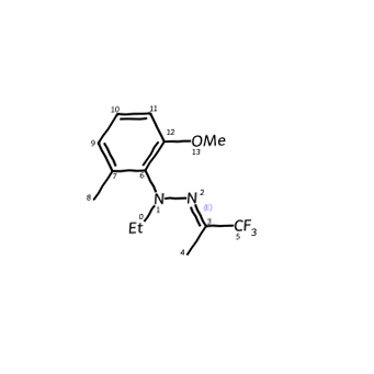 CCN(/N=C(\C)C(F)(F)F)c1c(C)cccc1OC